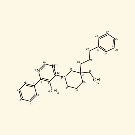 Cc1c(-c2ccccc2)ncnc1N1CCCC(CO)(CCCc2ccccc2)C1